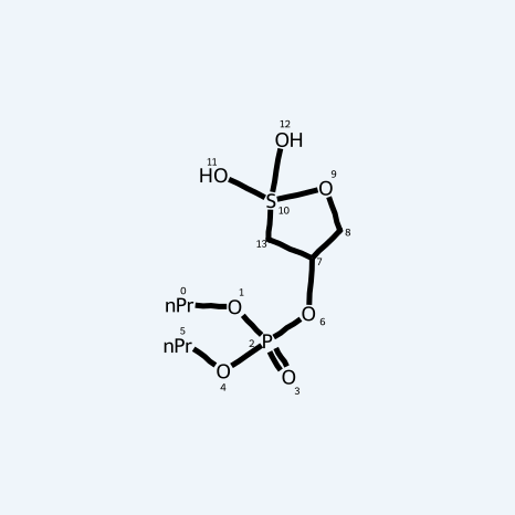 CCCOP(=O)(OCCC)OC1COS(O)(O)C1